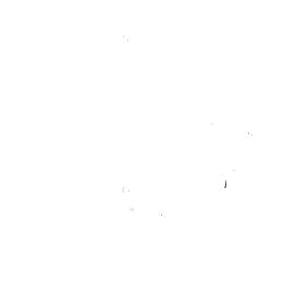 COC(=O)N[C@H](C(=O)Nc1ccccc1CC[C@@H]1CNC[C@@H](COc2ccc3ncsc3c2)O1)C(c1ccccc1)c1ccccc1